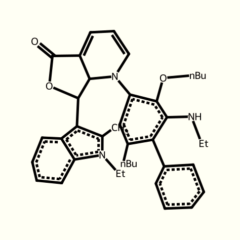 CCCCOc1c(N2C=CC=C3C(=O)OC(c4c(C)n(CC)c5ccccc45)C32)cc(CCCC)c(-c2ccccc2)c1NCC